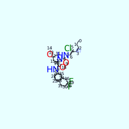 CC/C=C\C(Cl)=CNC(=O)N1CC(OC)C[C@@H]1C(=O)Nc1ccc2c(c1)CC(F)(F)CC2